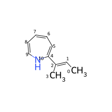 CC=C(C)C1=CC=CC=CN1